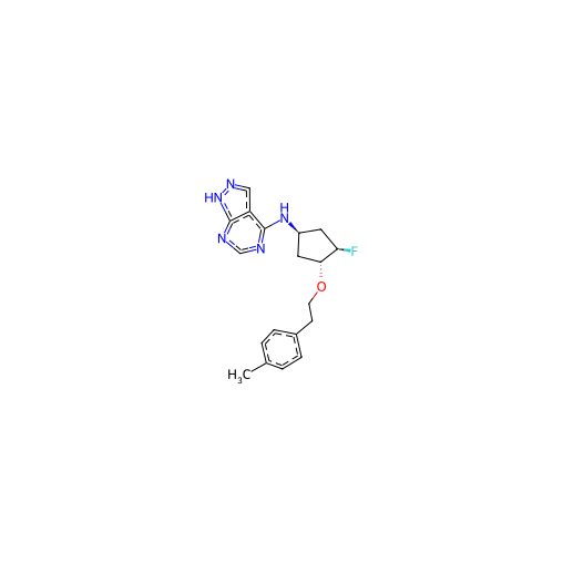 Cc1ccc(CCO[C@@H]2C[C@@H](Nc3ncnc4[nH]ncc34)C[C@H]2F)cc1